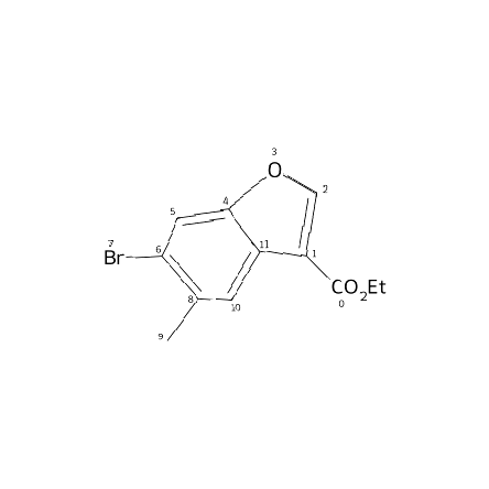 CCOC(=O)c1coc2cc(Br)c(C)cc12